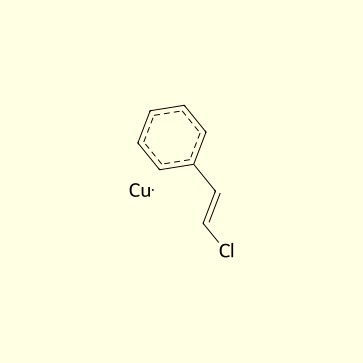 ClC=Cc1ccccc1.[Cu]